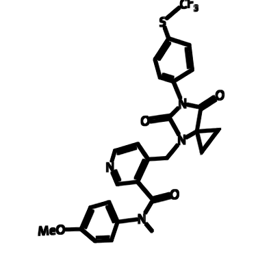 COc1ccc(N(C)C(=O)c2cnccc2CN2C(=O)N(c3ccc(SC(F)(F)F)cc3)C(=O)C23CC3)cc1